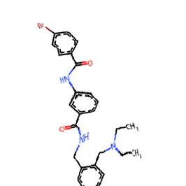 CCN(CC)Cc1ccccc1CNC(=O)c1cccc(NC(=O)c2ccc(Br)cc2)c1